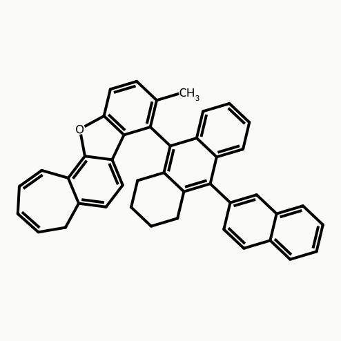 Cc1ccc2oc3c4c(ccc3c2c1-c1c2c(c(-c3ccc5ccccc5c3)c3ccccc13)CCCC2)CC=CC=C4